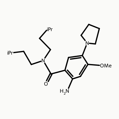 COc1cc(N)c(C(=O)N(CCC(C)C)CCC(C)C)cc1N1CCCC1